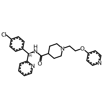 O=C(N[C@H](c1ccc(Cl)cc1)c1ccccn1)C1CCN(CCOc2ccncc2)CC1